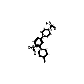 CC1CCN(c2cc(N3CCN(C(C)O)CC3)ccc2[N+](=O)[O-])CC1